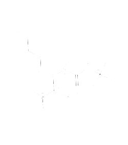 CCCCC[C@H](NC(=O)OC(C)(C)C)C(O)C(=O)O